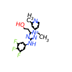 CC[N@@+]1(c2ccnc(C)c2)N=C(Nc2cc(F)c(F)c(F)c2)N=C1CCO